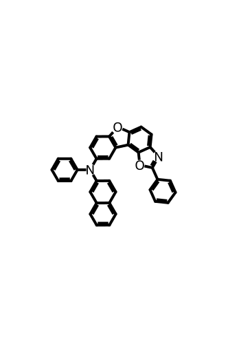 c1ccc(-c2nc3ccc4oc5ccc(N(c6ccccc6)c6ccc7ccccc7c6)cc5c4c3o2)cc1